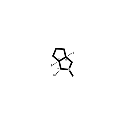 CC(=O)[C@@H]1[C@H]2CCC[C@H]2CN1C